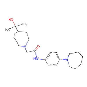 CC(C)(O)C1CCN(CC(=O)Nc2ccc(N3CCCCCC3)cc2)CC1